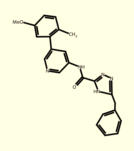 COc1ccc(C)c(-c2cncc(NC(=O)c3nnc(Cc4ccccc4)[nH]3)c2)c1